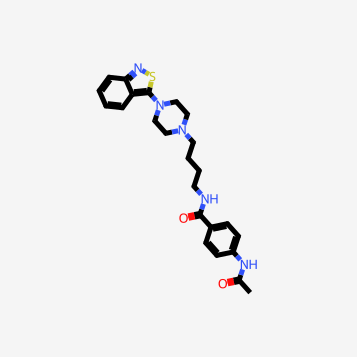 CC(=O)Nc1ccc(C(=O)NCCCCN2CCN(c3snc4ccccc34)CC2)cc1